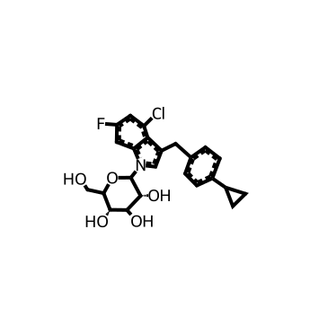 OCC1OC(n2cc(Cc3ccc(C4CC4)cc3)c3c(Cl)cc(F)cc32)[C@H](O)C(O)[C@@H]1O